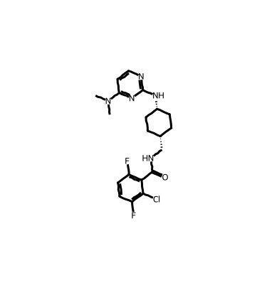 CN(C)c1ccnc(N[C@H]2CC[C@@H](CNC(=O)c3c(F)ccc(F)c3Cl)CC2)n1